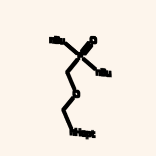 CCCCCCCCOCP(=O)(CCCC)CCCC